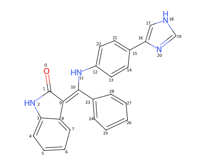 O=C1Nc2ccccc2/C1=C(/Nc1ccc(-c2c[nH]cn2)cc1)c1ccccc1